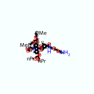 CCCOCC(COCCC)Oc1ccc2c(c1)c(C(=O)Oc1c(C)cc(C(=O)NCCOCCOCCN)cc1C)c1cc(OC(COCCOC)COCCOC)ccc1[n+]2CCCS(=O)(=O)[O-]